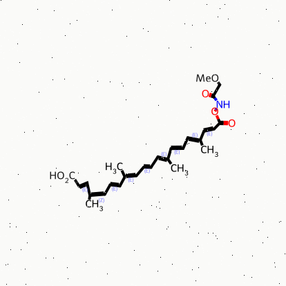 COCC(=O)NOC(=O)/C=C/C(C)=C/C=C/C(C)=C/C=C/C=C(C)/C=C/C=C(C)\C=C\C(=O)O